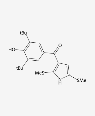 CSc1cc(C(=O)c2cc(C(C)(C)C)c(O)c(C(C)(C)C)c2)c(SC)[nH]1